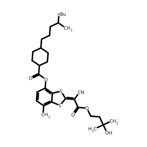 CCCCC(C)CCCC1CCC(C(=O)Oc2ccc(C)c3c2S/C(=C(\C#N)C(=O)OCCC(C)(C)O)S3)CC1